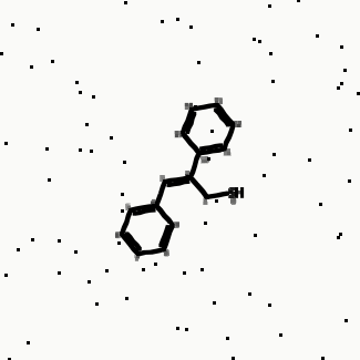 SCC(=Cc1ccccc1)c1ccccc1